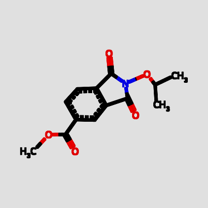 COC(=O)c1ccc2c(c1)C(=O)N(OC(C)C)C2=O